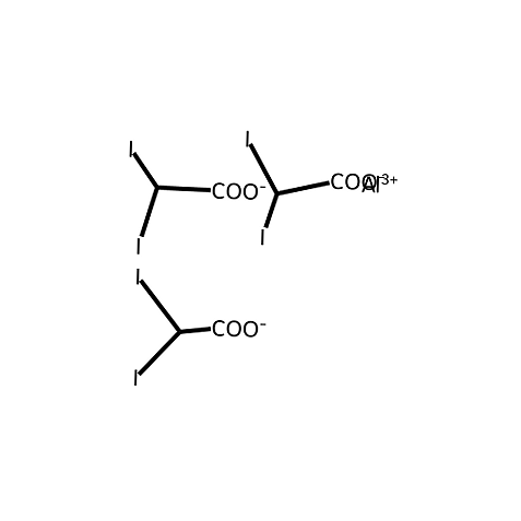 O=C([O-])C(I)I.O=C([O-])C(I)I.O=C([O-])C(I)I.[Al+3]